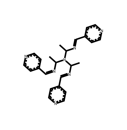 CC(N=Cc1ccncc1)N(C(C)N=Cc1ccncc1)C(C)N=Cc1ccncc1